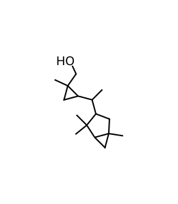 CC(C1CC1(C)CO)C1CC2(C)CC2C1(C)C